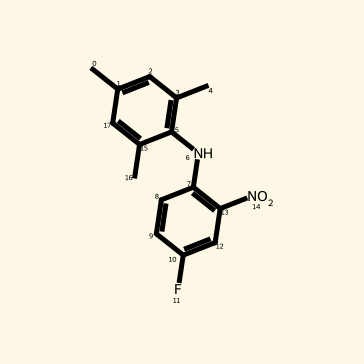 Cc1cc(C)c(Nc2ccc(F)cc2[N+](=O)[O-])c(C)c1